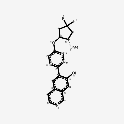 CO[C@H]1CC(F)(F)C[C@@H]1Oc1cnc(-c2cc3ccncc3cc2O)nn1